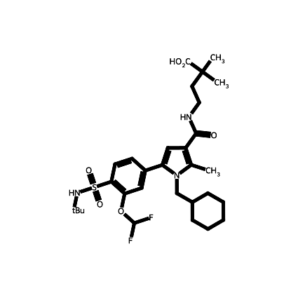 Cc1c(C(=O)NCCC(C)(C)C(=O)O)cc(-c2ccc(S(=O)(=O)NC(C)(C)C)c(OC(F)F)c2)n1CC1CCCCC1